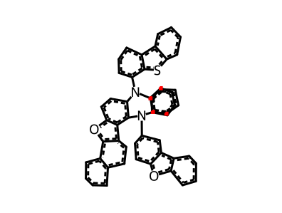 c1ccc(N(c2ccc3oc4c5ccccc5ccc4c3c2N(c2ccccc2)c2ccc3oc4ccccc4c3c2)c2cccc3c2sc2ccccc23)cc1